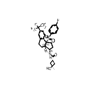 C[C@]1(O)C[C@H](C(=O)N[C@@H]2CC[C@@]3(S(=O)(=O)c4ccc(F)cc4)c4ccc(C(F)(C(F)(F)F)C(F)(F)F)cc4CC[C@@H]23)C1